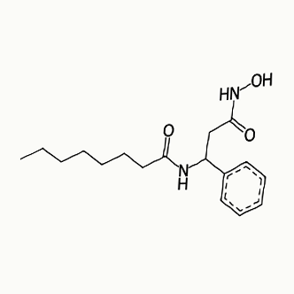 CCCCCCCC(=O)NC(CC(=O)NO)c1ccccc1